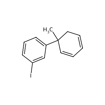 CC1(c2cccc(I)c2)C=CC=CC1